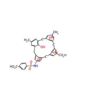 Cc1cc2c(O)c(c1)Cc1cc(NS(=O)(=O)c3ccc(C(=O)O)cc3)cc(c1O)Cc1cc(C(=O)O)cc(c1O)Cc1cc(C)cc(c1O)C2